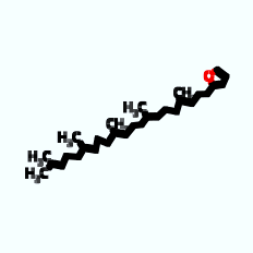 CC(C)=CCC/C(C)=C/CC/C(C)=C/CC/C(C)=C/CC/C(C)=C/CCc1ccco1